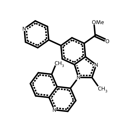 COC(=O)c1cc(-c2ccncc2)cc2c1nc(C)n2-c1ccnc2cccc(C)c12